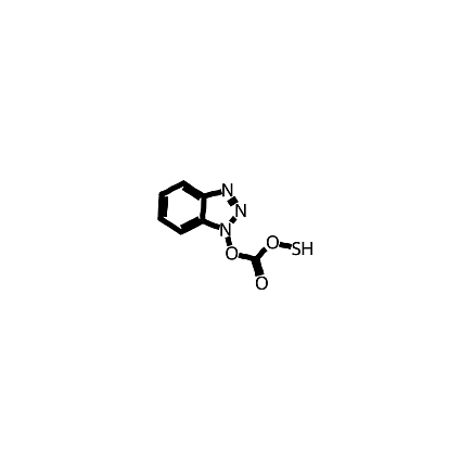 O=C(OS)On1nnc2ccccc21